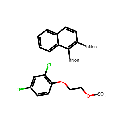 CCCCCCCCCc1ccc2ccccc2c1CCCCCCCCC.O=S(=O)(O)OCCOc1ccc(Cl)cc1Cl